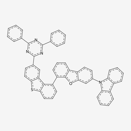 c1ccc(-c2nc(-c3ccccc3)nc(-c3ccc4sc5cccc(-c6cccc7c6oc6cc(-n8c9ccccc9c9ccccc98)ccc67)c5c4c3)n2)cc1